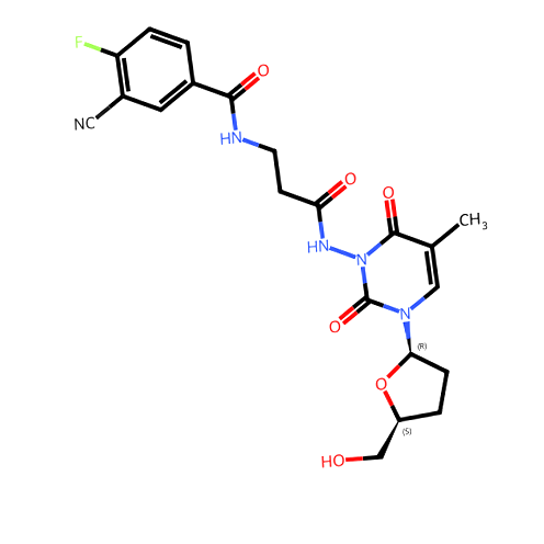 Cc1cn([C@H]2CC[C@@H](CO)O2)c(=O)n(NC(=O)CCNC(=O)c2ccc(F)c(C#N)c2)c1=O